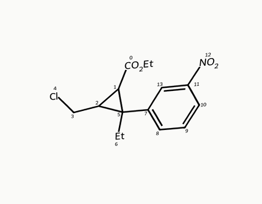 CCOC(=O)C1C(CCl)C1(CC)c1cccc([N+](=O)[O-])c1